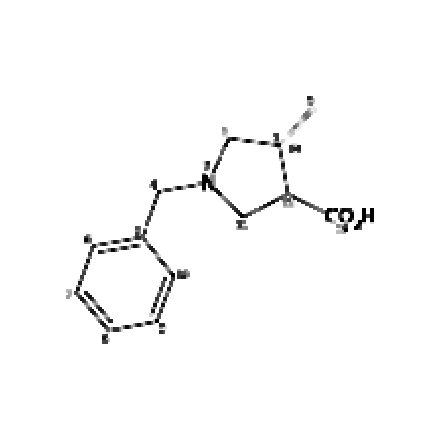 C[C@H]1CN(Cc2ccccc2)CC1C(=O)O